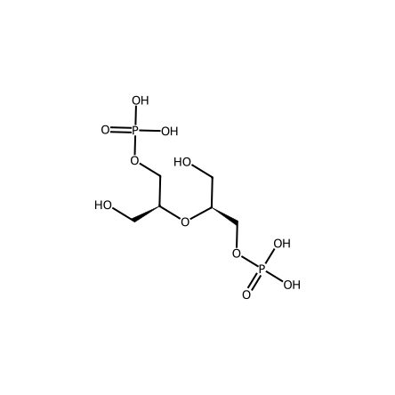 O=P(O)(O)OC[C@H](CO)O[C@@H](CO)COP(=O)(O)O